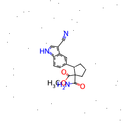 COC(=O)C1(C(N)=O)CCCC1c1ccc2[nH]cc(C#N)c2c1